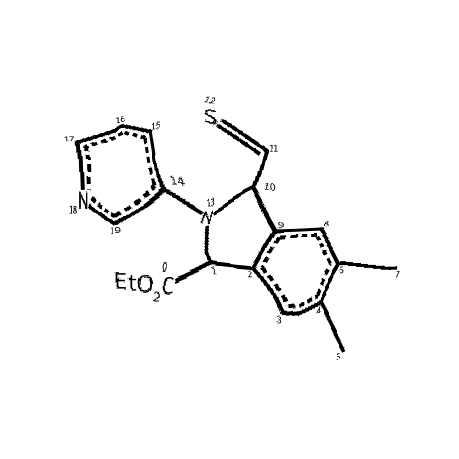 CCOC(=O)C1c2cc(C)c(C)cc2C(C=S)N1c1cccnc1